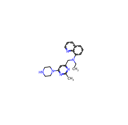 CCN(Cc1cc(N2CCNCC2)nc(C)n1)c1cccc2cccnc12